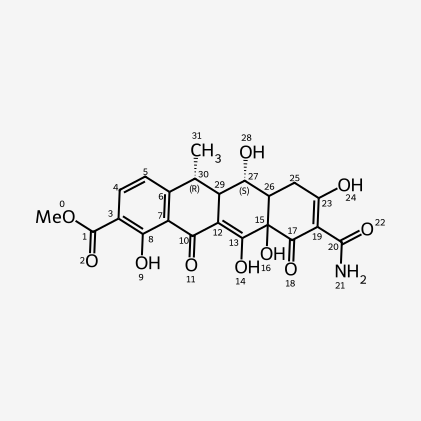 COC(=O)c1ccc2c(c1O)C(=O)C1=C(O)C3(O)C(=O)C(C(N)=O)=C(O)CC3[C@@H](O)C1[C@H]2C